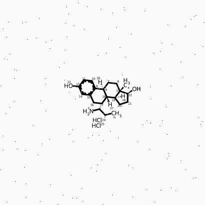 CCCN.C[C@]12CC[C@@H]3c4ccc(O)cc4CC[C@H]3[C@@H]1CC[C@@H]2O.Cl.Cl